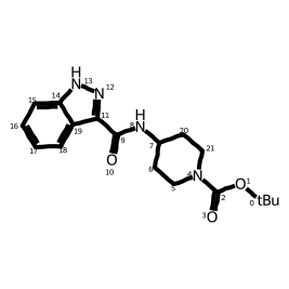 CC(C)(C)OC(=O)N1CCC(NC(=O)c2n[nH]c3ccccc23)CC1